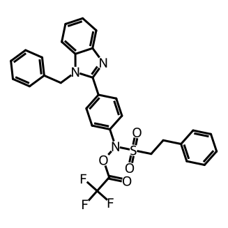 O=C(ON(c1ccc(-c2nc3ccccc3n2Cc2ccccc2)cc1)S(=O)(=O)CCc1ccccc1)C(F)(F)F